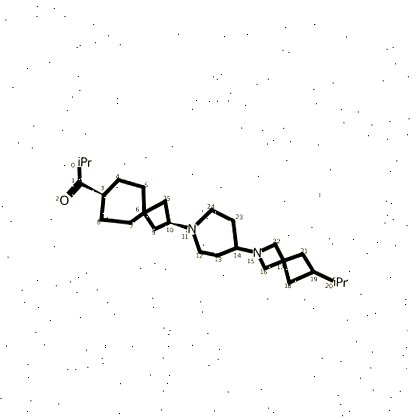 CC(C)C(=O)[C@H]1CCC2(CC1)C[C@H](N1CCC(N3CC4(CC(C(C)C)C4)C3)CC1)C2